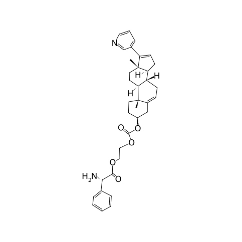 C[C@]12CC[C@H](OC(=O)OCCOC(=O)[C@@H](N)c3ccccc3)CC1=CC[C@@H]1[C@@H]2CC[C@]2(C)C(c3cccnc3)=CC[C@@H]12